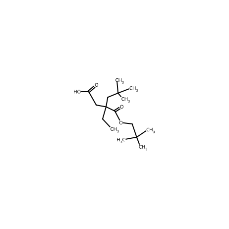 CCC(CC(=O)O)(CC(C)(C)C)C(=O)OCC(C)(C)C